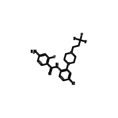 Nc1ccc(C(=O)Nc2ccc(Cl)cc2N2CCN(CCC(F)(F)F)CC2)c(F)c1